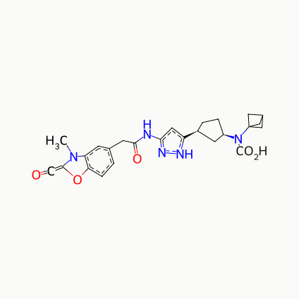 CN1C(=C=O)Oc2ccc(CC(=O)Nc3cc([C@H]4CC[C@@H](N(C(=O)O)C56CC(C5)C6)C4)[nH]n3)cc21